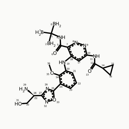 BC(B)(B)NC(=O)c1nnc(NC(=O)C2CC2)cc1Nc1cccc(-c2nc([C@H](N)CO)no2)c1OC